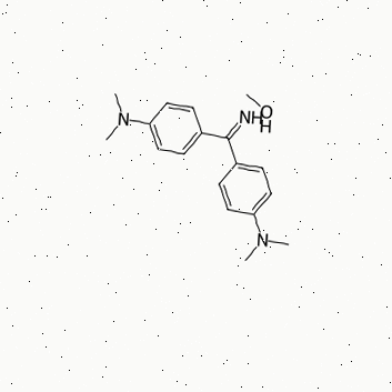 CN(C)c1ccc(C(=N)c2ccc(N(C)C)cc2)cc1.CO